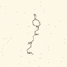 CCN1CCN(CCNCCNCCN)CC1